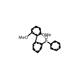 COc1cccc(OC)c1-c1ccccc1P(Cl)c1ccccc1